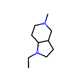 CCN1CCC2CN(C)CCC21